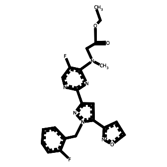 CCOC(=O)CN(C)c1nc(-c2cc(-c3ccon3)n(Cc3ccccc3F)n2)ncc1F